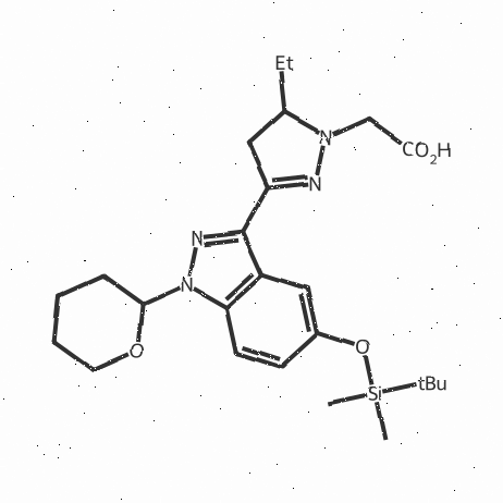 CCC1CC(c2nn(C3CCCCO3)c3ccc(O[Si](C)(C)C(C)(C)C)cc23)=NN1CC(=O)O